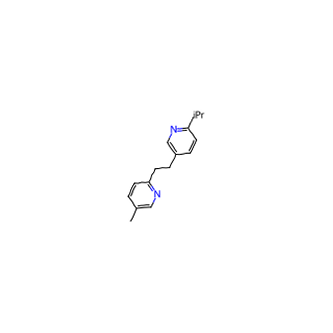 Cc1ccc(CCc2ccc(C(C)C)nc2)nc1